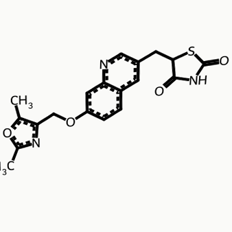 Cc1nc(COc2ccc3cc(CC4SC(=O)NC4=O)cnc3c2)c(C)o1